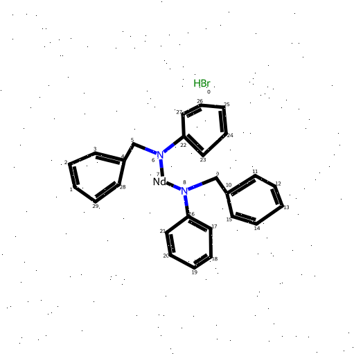 Br.c1ccc(C[N]([Nd][N](Cc2ccccc2)c2ccccc2)c2ccccc2)cc1